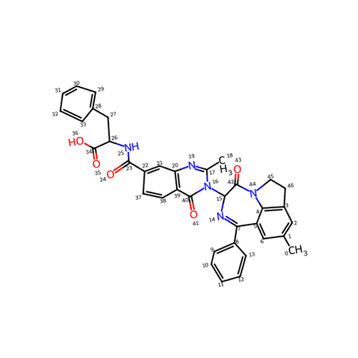 Cc1cc2c3c(c1)C(c1ccccc1)=NC(n1c(C)nc4cc(C(=O)NC(Cc5ccccc5)C(=O)O)ccc4c1=O)C(=O)N3CC2